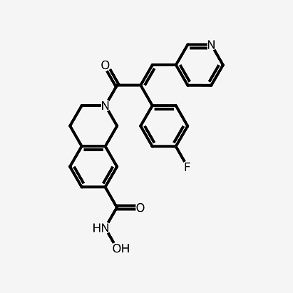 O=C(NO)c1ccc2c(c1)CN(C(=O)C(=Cc1cccnc1)c1ccc(F)cc1)CC2